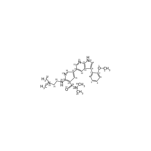 COc1ccccc1-c1c[nH]c2ncc(-c3cnc(NCCN(C)C)c(C(=O)N(C)C)c3)cc12